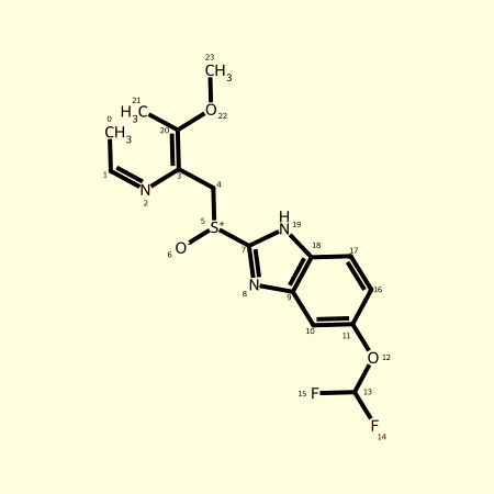 C/C=N\C(C[S+]([O-])c1nc2cc(OC(F)F)ccc2[nH]1)=C(/C)OC